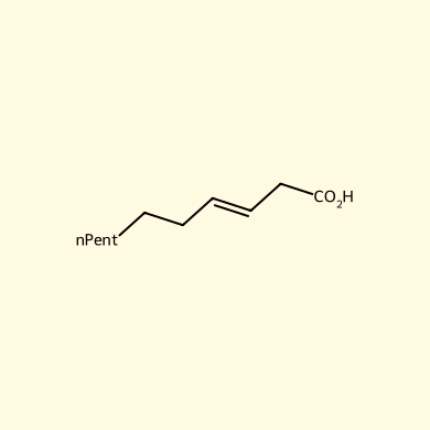 CCCCCCC/C=C/CC(=O)O